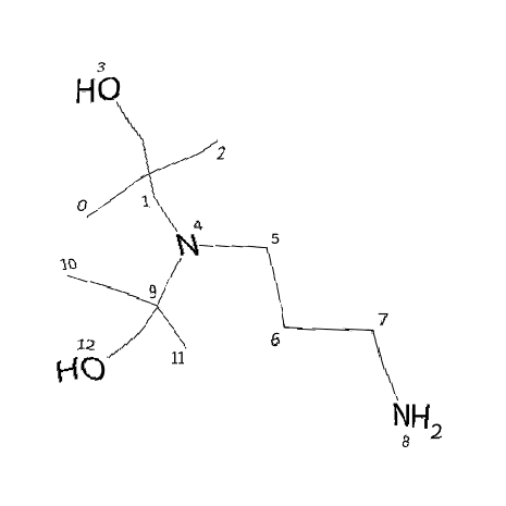 CC(C)(O)N(CCCN)C(C)(C)O